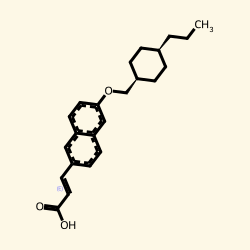 CCC[C@H]1CC[C@@H](COc2ccc3cc(/C=C/C(=O)O)ccc3c2)CC1